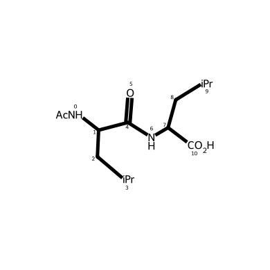 CC(=O)NC(CC(C)C)C(=O)NC(CC(C)C)C(=O)O